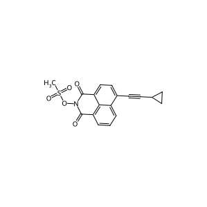 CS(=O)(=O)ON1C(=O)c2cccc3c(C#CC4CC4)ccc(c23)C1=O